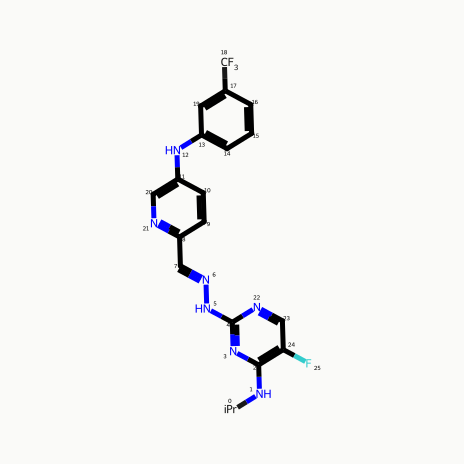 CC(C)Nc1nc(N/N=C/c2ccc(Nc3cccc(C(F)(F)F)c3)cn2)ncc1F